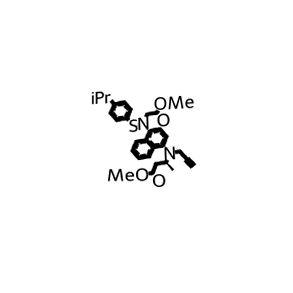 C#CCN(c1ccc(N(CC(=O)OC)Sc2ccc(C(C)C)cc2)c2ccccc12)[C@@H](C)CC(=O)OC